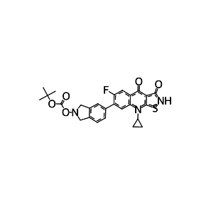 CC(C)(C)OC(=O)ON1Cc2ccc(-c3cc4c(cc3F)c(=O)c3c(=O)[nH]sc3n4C3CC3)cc2C1